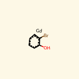 Oc1ccccc1Br.[Gd]